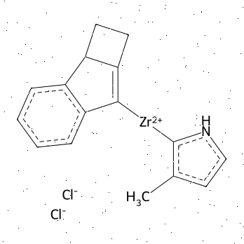 Cc1cc[nH][c]1[Zr+2][C]1=C2CCC2c2ccccc21.[Cl-].[Cl-]